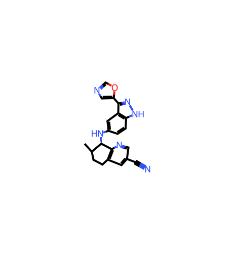 CC1CCc2cc(C#N)cnc2[C@@H]1Nc1ccc2[nH]nc(-c3cnco3)c2c1